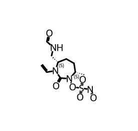 C=CN1C(=O)N(OS(=O)(=O)N=O)[C@@H](C)CC[C@H]1CNC=O